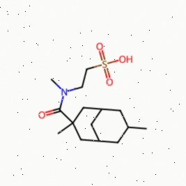 CC1CC2CC(C1)CC(C)(C(=O)N(C)CCS(=O)(=O)O)C2